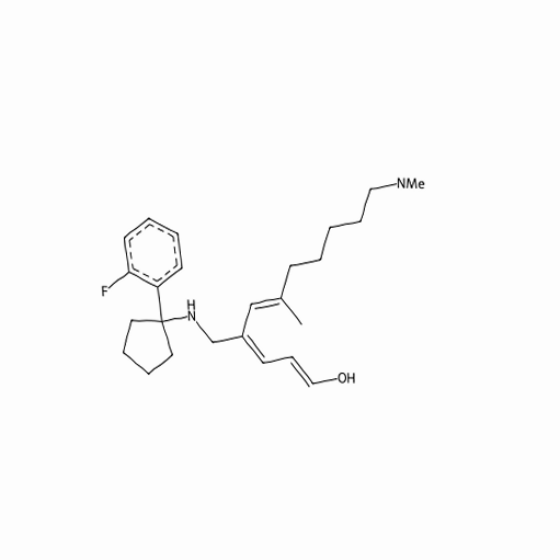 CNCCCCC/C(C)=C/C(=C\C=C\O)CNC1(c2ccccc2F)CCCC1